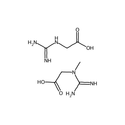 CN(CC(=O)O)C(=N)N.N=C(N)NCC(=O)O